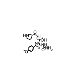 COc1ccc(-c2nc(C(=O)O)c(NC(N)=O)s2)cc1.NC(=O)[C@H]1CCCNC1